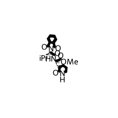 COC(=O)[C@H](C[C@@H]1CCCNC1=O)NC(=O)[C@H](CC(C)C)N1C(=O)c2ccccc2C1=O